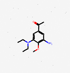 CCN(CC)c1cc(C(C)=O)cc(N)c1OC